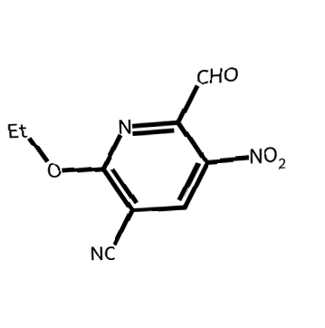 CCOc1nc(C=O)c([N+](=O)[O-])cc1C#N